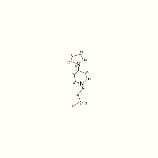 CC(C)CCN1CCC(N2CCCC2)CC1